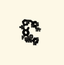 Cc1cc(S(=O)(=O)Nc2cscn2)c(F)cc1N(C)C1CCN(Cc2csc(C(C)C)n2)C1